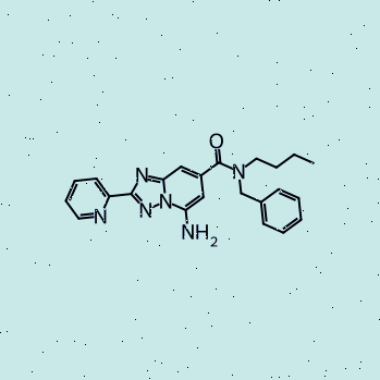 CCCCN(Cc1ccccc1)C(=O)c1cc(N)n2nc(-c3ccccn3)nc2c1